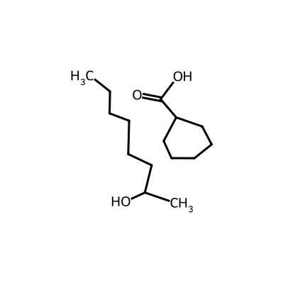 CCCCCCC(C)O.O=C(O)C1CCCCC1